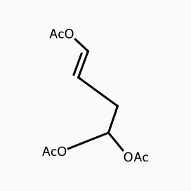 CC(=O)OC=CCC(OC(C)=O)OC(C)=O